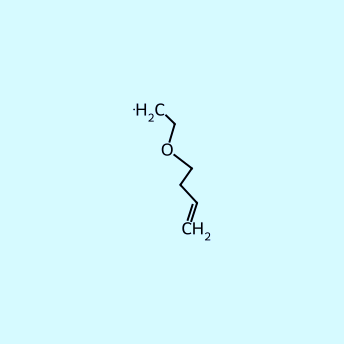 [CH2]COCCC=C